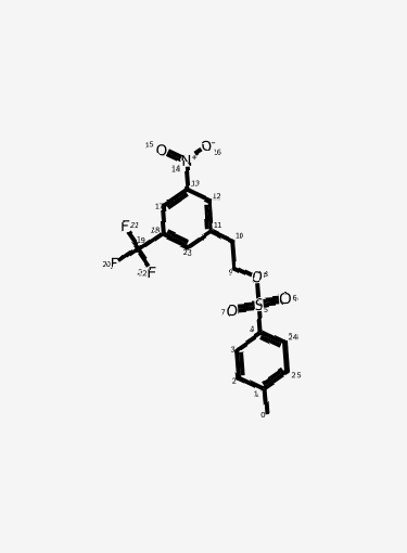 Cc1ccc(S(=O)(=O)OCCc2cc([N+](=O)[O-])cc(C(F)(F)F)c2)cc1